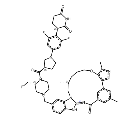 Cc1cc2cc(n1)-c1cnn(C)c1OCCC[C@@H](C)CN1/C(=N/C2=O)Nc2ccc(CN3CCN(C(=O)[C@@H]4CCN(c5cc(F)c([C@H]6CCC(=O)NC6=O)c(F)c5)C4)[C@@H](CF)C3)cc21